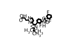 CC(C)(C)c1nc(-c2cccc(NS(=O)(=O)c3cc(F)ccc3F)c2F)c(-c2ccnc(CCC(=O)O)n2)s1